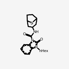 CCCCCCn1c(=O)n(C(=O)NC2CC3CCC(C2)N3C)c2ccccc21